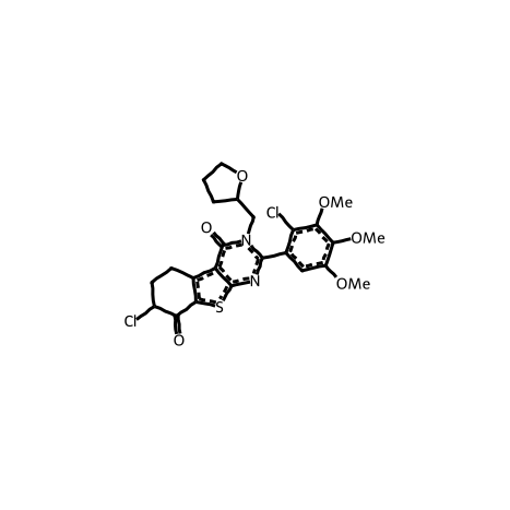 COc1cc(-c2nc3sc4c(c3c(=O)n2CC2CCCO2)CCC(Cl)C4=O)c(Cl)c(OC)c1OC